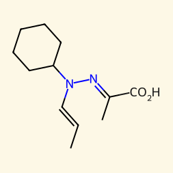 CC=CN(N=C(C)C(=O)O)C1CCCCC1